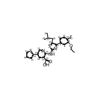 CCOc1cc(-c2nc(Nc3ncc(-c4cccs4)cc3C(=O)O)sc2CC(C)C)ccc1F